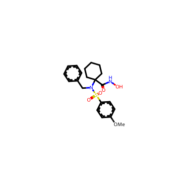 COc1ccc(S(=O)(=O)N(Cc2ccccc2)C2(C(=O)NO)CCCCC2)cc1